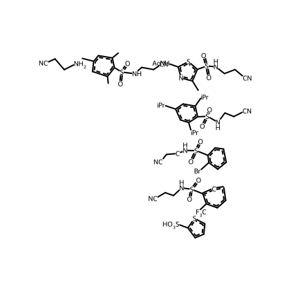 CC(=O)Nc1nc(C)c(S(=O)(=O)NCCC#N)s1.CC(C)c1cc(C(C)C)c(S(=O)(=O)NCCC#N)c(C(C)C)c1.Cc1cc(C)c(S(=O)(=O)NCCC#N)c(C)c1.N#CCCN.N#CCCNS(=O)(=O)c1ccccc1Br.N#CCCNS(=O)(=O)c1ccccc1C(F)(F)F.O=S(=O)(O)c1cccs1